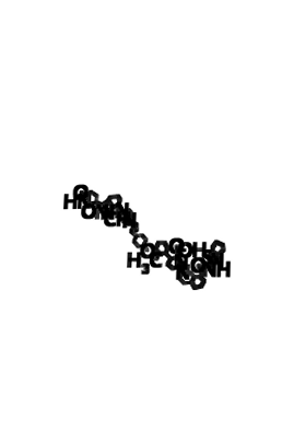 Cc1c(OC2CCC(CCN3CCN(c4cccc5c(C6CCC(=O)NC6=O)nn(C)c45)CC3)CC2)cccc1-c1ccc(N2CCc3cccc(C(=O)Nc4nc5ccccc5s4)c3C2)nc1C(=O)O